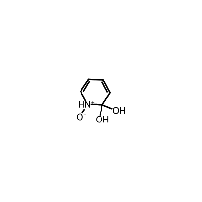 [O-][NH+]1C=CC=CC1(O)O